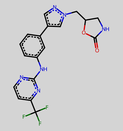 O=C1NCC(Cn2cc(-c3cccc(Nc4nccc(C(F)(F)F)n4)c3)cn2)O1